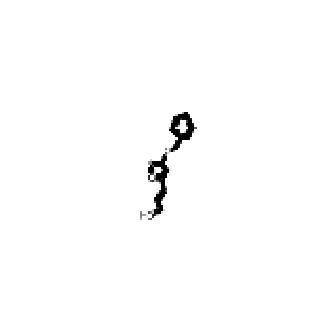 OC/C=C/c1cc(OCc2ccccc2)no1